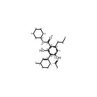 C=C(C)[C@@H]1CCC(C)C=C1c1c(O)cc(CCC)c(C(=O)OC2CCCCC2)c1O